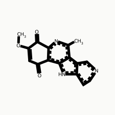 COC1=CC(=O)c2c(nc(C)c3c2[nH]c2ccncc23)C1=O